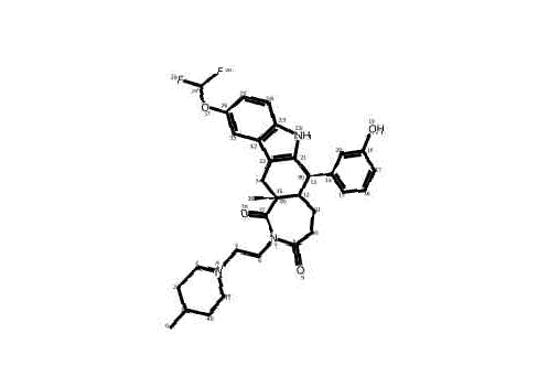 CC1CCN(CCN2C(=O)CCC3[C@H](c4cccc(O)c4)c4[nH]c5ccc(OC(F)F)cc5c4C[C@@]3(C)C2=O)CC1